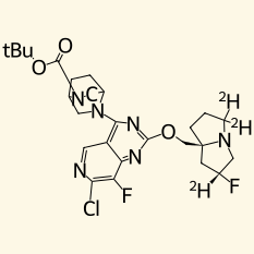 [2H]C1([2H])CC[C@@]2(COc3nc(N4CC5CCC4CN5C(=O)OC(C)(C)C)c4cnc(Cl)c(F)c4n3)C[C@@]([2H])(F)CN12